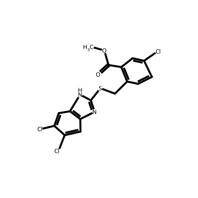 COC(=O)c1cc(Cl)ccc1CSc1nc2cc(Cl)c(Cl)cc2[nH]1